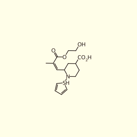 CC(=CC1CC(C(=O)O)CCN1[SH]1C=CC=C1)C(=O)OCCO